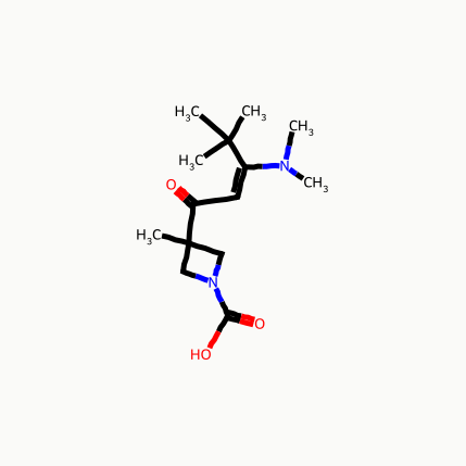 CN(C)/C(=C/C(=O)C1(C)CN(C(=O)O)C1)C(C)(C)C